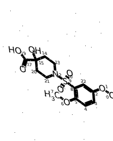 COc1ccc(OC)c(S(=O)(=O)N2CCC(O)(C(=O)O)CC2)c1